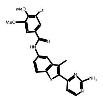 CCc1cc(C(=O)Nc2ccc3sc(-c4ccnc(N)n4)c(C)c3c2)cc(OC)c1OC